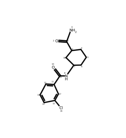 NC(=O)C1CCCC(NC(=O)c2cccc(Cl)c2)C1